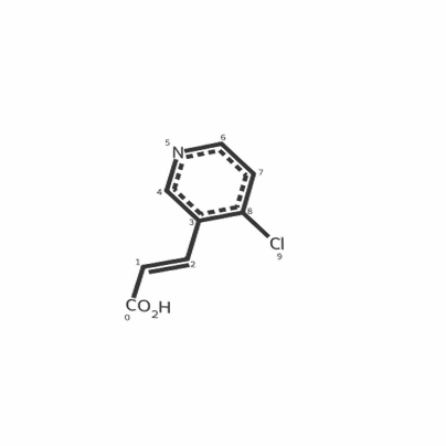 O=C(O)/C=C/c1cnccc1Cl